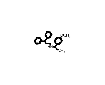 CCC(NCCC(c1ccccc1)c1ccccc1)c1ccc(OC)cc1